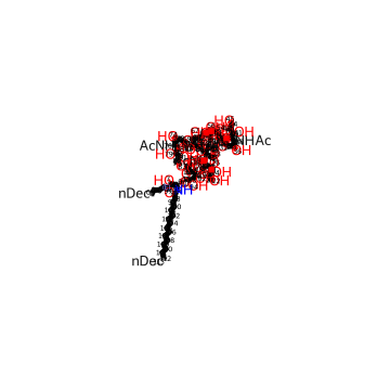 CCCCCCCCCCCCC/C=C/[C@@H](O)[C@H](CO[C@@H]1OC(CO)[C@@H](O[C@@H]2OC(CO)[C@H](O)[C@H](O[C@@H]3OC(CO[C@]4(C(=O)O)CC(O)[C@@H](NC(C)=O)C([C@H](O)[C@H](O)CO)O4)[C@@H](O[C@H]4OC(C)[C@@H](O)C(O)[C@@H]4O)[C@H](O[C@@H]4OC(CO)[C@H](O)[C@H](O[C@]5(C(=O)O)CC(O)[C@@H](NC(C)=O)C([C@H](O)[C@H](O)CO)O5)C4O)C3NC(C)=O)C2O)[C@H](O)C1O)NC(=O)CCCCCCCCCCCCCCCCCCCCCCCCC